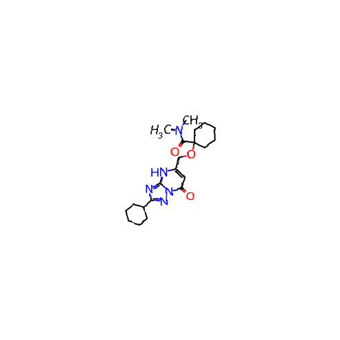 CN(C)C(=O)C1(OCc2cc(=O)n3nc(C4CCCCC4)nc3[nH]2)CCCCC1